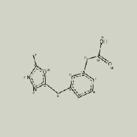 Cc1nnc(Cc2cccc(CC(=O)O)c2)o1